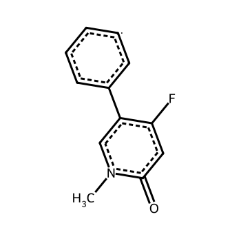 Cn1cc(-c2c[c]ccc2)c(F)cc1=O